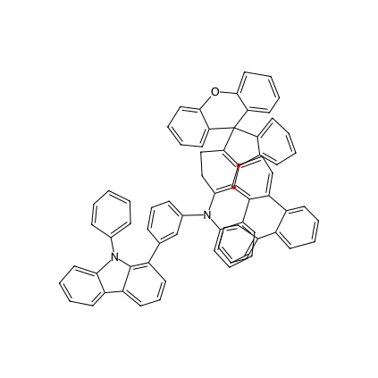 C1=C(N(c2cccc(-c3cccc4c5ccccc5n(-c5ccccc5)c34)c2)c2ccccc2-c2ccccc2-c2ccccc2-c2ccccc2)CCC2=C1c1ccccc1C21c2ccccc2Oc2ccccc21